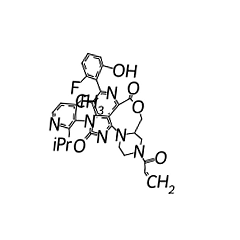 C=CC(=O)N1CCN2c3nc(=O)n(-c4c(C)ccnc4C(C)C)c4c(F)c(-c5c(O)cccc5F)nc(c34)C(=O)OCC2C1